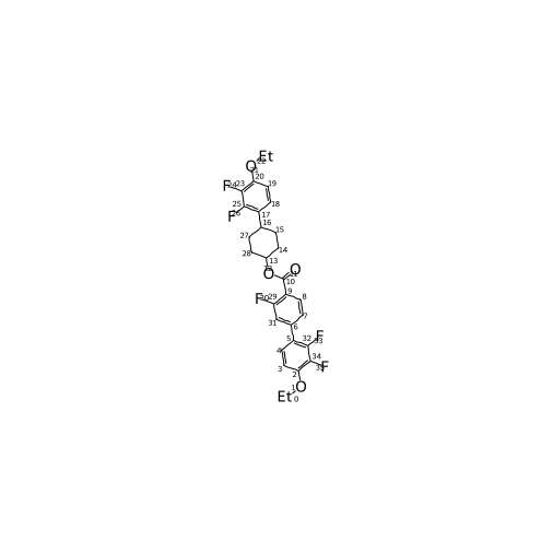 CCOc1ccc(-c2ccc(C(=O)OC3CCC(c4ccc(OCC)c(F)c4F)CC3)c(F)c2)c(F)c1F